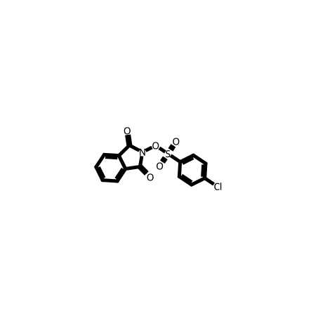 O=C1c2ccccc2C(=O)N1OS(=O)(=O)c1ccc(Cl)cc1